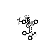 O=C(NC(COC(=O)C(Cc1ccccc1)NS(=O)(=O)c1ccc(C(F)(F)F)cc1[N+](=O)[O-])Cc1ccccc1)c1ccccc1